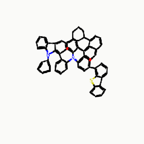 c1ccc(-n2c3ccccc3c3cccc(-c4ccccc4N(c4ccc(-c5cccc6c5sc5ccccc56)cc4)c4ccccc4-c4cccc5cccc(C6CCCCC6)c45)c32)cc1